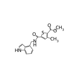 COC(=O)c1sc(C(=O)NCc2cccc3[nH]ccc23)cc1C